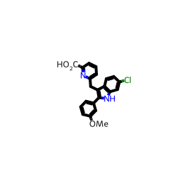 COc1cccc(-c2[nH]c3cc(Cl)ccc3c2Cc2cccc(C(=O)O)n2)c1